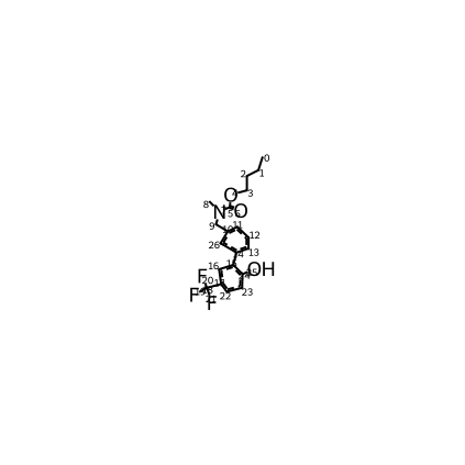 CCCCOC(=O)N(C)Cc1cccc(-c2cc(C(F)(F)F)ccc2O)c1